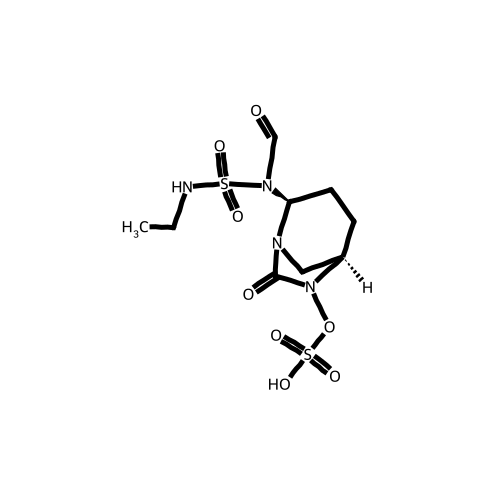 CCNS(=O)(=O)N(C=O)[C@H]1CC[C@@H]2CN1C(=O)N2OS(=O)(=O)O